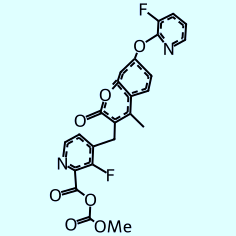 COC(=O)OC(=O)c1nccc(Cc2c(C)c3ccc(Oc4ncccc4F)cc3oc2=O)c1F